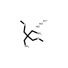 COCC(CN)(CN)COC.[OH-].[OH-].[Pt+2]